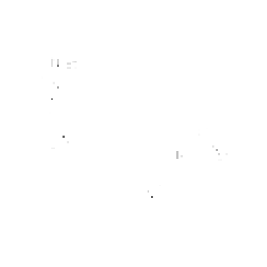 CCN(CCOCCOCCN(CC)c1ccc(N=NC2SC=CN2CC)cc1)c1ccc(N=NC2SC=CN2CC)cc1